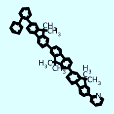 CC1(C)c2cc(-c3ccc4c(c3)C(C)(C)c3cc(-c5ccccn5)ccc3-4)ccc2-c2ccc(-c3ccc4c(c3)C(C)(C)c3cc(-c5ccccc5-c5ccccc5)ccc3-4)cc21